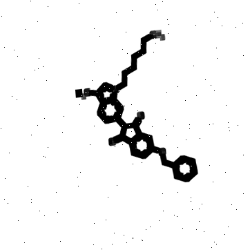 CCCCCCCn1cc(C)c2ccc(C3C(=O)c4ccc(OCc5ccccc5)cc4C3=O)cc21